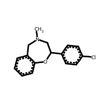 CN1Cc2ccccc2OC(c2ccc(Cl)cc2)C1